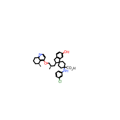 C[C@@H](COc1ccnc2c1[C@@H](C)CCC2)CC1Cc2ccc(O)cc2C12CCC(Nc1cccc(Cl)c1)(C(=O)O)CC2